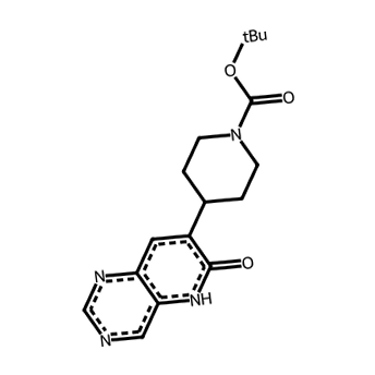 CC(C)(C)OC(=O)N1CCC(c2cc3ncncc3[nH]c2=O)CC1